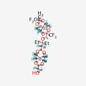 CCC(CC)(OCC1(C(F)(F)F)OC(F)(F)C2(C(F)(F)OC(C)(C(F)(F)F)OC2(F)F)C(F)(F)O1)C(F)(F)C1OC(F)(F)C2(C(F)(F)OC(C(O)(F)F)OC2(F)F)C(F)(F)O1